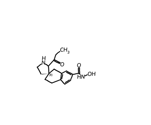 CCC(=O)C1NCC[C@]12CCc1ccc(C(=O)NO)cc1C2